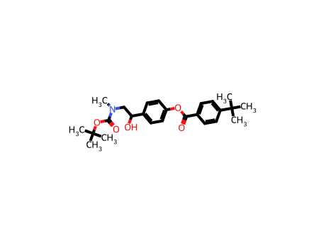 CN(CC(O)c1ccc(OC(=O)c2ccc(C(C)(C)C)cc2)cc1)C(=O)OC(C)(C)C